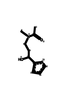 CC(=O)N(C)CCC(O)c1cccs1